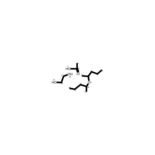 CC(=O)O.CCCC(C)OC(C)CCC.OCCO